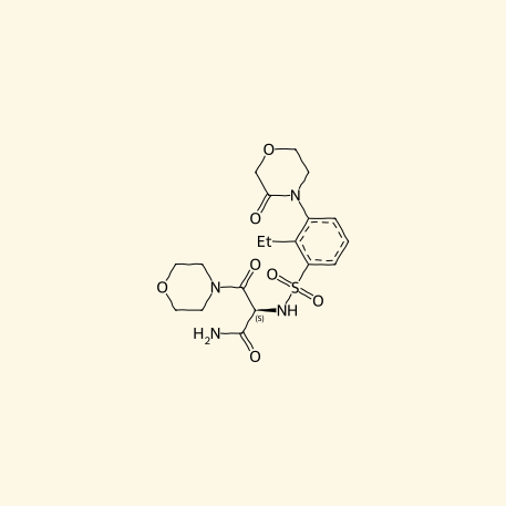 CCc1c(N2CCOCC2=O)cccc1S(=O)(=O)N[C@@H](C(N)=O)C(=O)N1CCOCC1